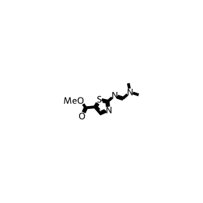 COC(=O)c1cnc(/N=C/N(C)C)s1